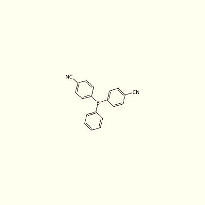 N#Cc1ccc(B(c2ccccc2)c2ccc(C#N)cc2)cc1